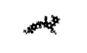 CCC1Cc2sc(NC(=O)Cc3ccc(S(N)(=O)=O)cc3)c(C#N)c2CN1Cc1cccc(F)c1